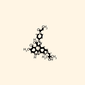 C=CC(=O)N1CCC(n2nc(-c3ccc4nn(CC(C)(C)O)cc4c3)c([C@@H]3C(Cl)=C(C)C=C4NN=CC43)c2C)CC1